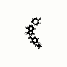 Cc1cc(N2CCCN(C)CC2)cc2c1C(=O)N(Cc1ccc(OC(F)(F)F)cc1)C2